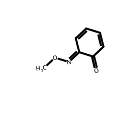 CON=C1C=CC=CC1=O